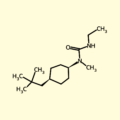 CCNC(=O)N(C)[C@H]1CC[C@@H](CC(C)(C)C)CC1